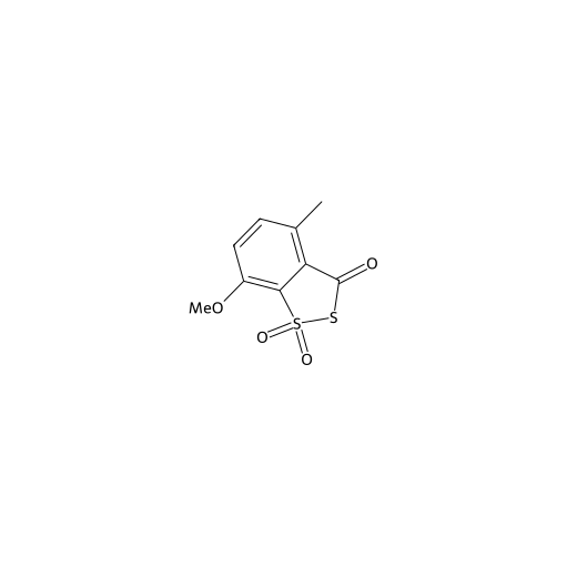 COc1ccc(C)c2c1S(=O)(=O)SC2=O